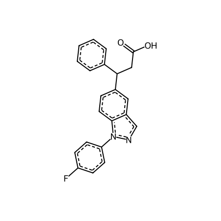 O=C(O)CC(c1ccccc1)c1ccc2c(cnn2-c2ccc(F)cc2)c1